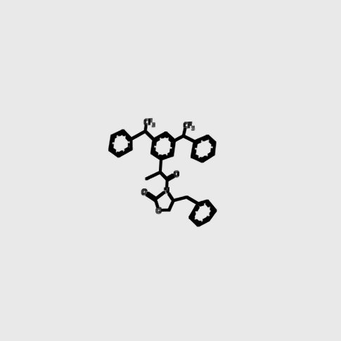 CC(C(=O)N1C(=O)OCC1Cc1ccccc1)c1cc(C(c2ccccc2)C(F)(F)F)cc(C(c2ccccc2)C(F)(F)F)c1